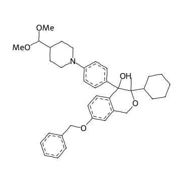 COC(OC)C1CCN(c2ccc(C3(O)c4ccc(OCc5ccccc5)cc4COC3(C)C3CCCCC3)cc2)CC1